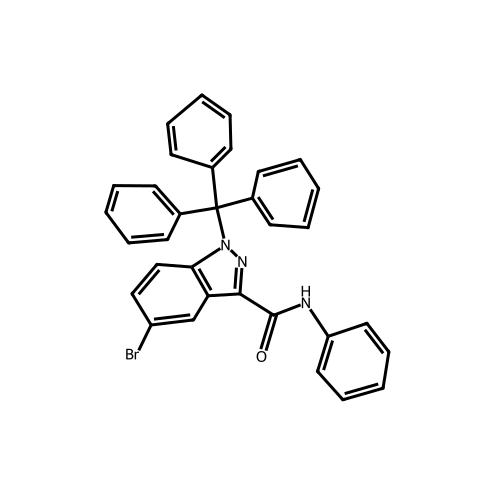 O=C(Nc1ccccc1)c1nn(C(c2ccccc2)(c2ccccc2)c2ccccc2)c2ccc(Br)cc12